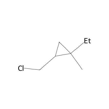 CCC1(C)CC1CCl